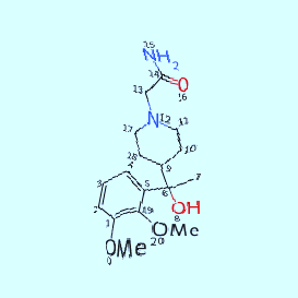 COc1cccc(C(C)(O)C2CCN(CC(N)=O)CC2)c1OC